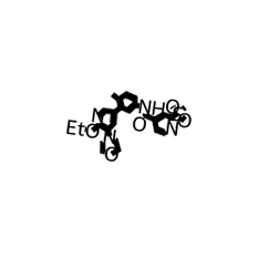 CCOc1ncc(-c2cc(NC(=O)c3ccnc(S(C)(=O)=O)c3)ccc2C)cc1N1CCOCC1